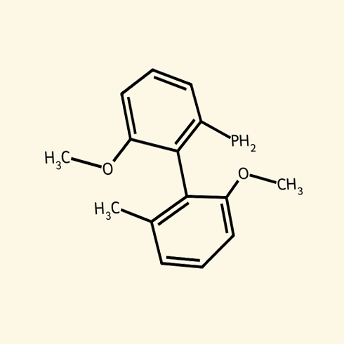 COc1cccc(C)c1-c1c(P)cccc1OC